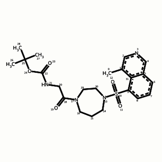 Cc1cncc2cccc(S(=O)(=O)N3CCCN(C(=O)CNC(=O)OC(C)(C)C)CC3)c12